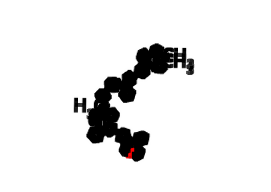 CC1(C)c2ccccc2-c2c(-n3c4ccccc4c4cc(-c5ccc6c(c5)c5ccccc5n6-c5cccc(-c6cccc(CC7(C)c8ccccc8-c8c(-n9c%10ccccc%10c%10cc(-c%11ccc%12c(c%11)c%11ccccc%11n%12-c%11ccccc%11-c%11ccccc%11)ccc%109)cccc87)c6)c5)ccc43)cccc21